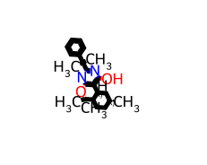 C[C@@H]1CCC2[C@@H](C1)c1c(O)nc(C(C)(C)c3ccccc3)nc1OC2(C)C